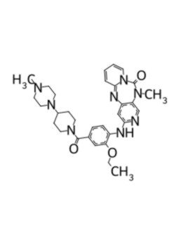 CCOc1cc(C(=O)N2CCC(N3CCN(C)CC3)CC2)ccc1Nc1cc2c(cn1)N(C)C(=O)N1C=CC=CC1=N2